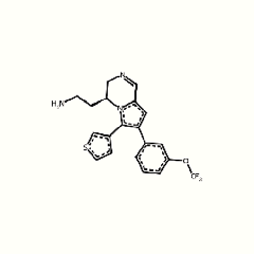 NCC[C@H]1CN=Cc2cc(-c3cccc(OC(F)(F)F)c3)c(-c3ccsc3)n21